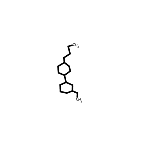 CCCCC1CCC(C2CCCC(CC)C2)CC1